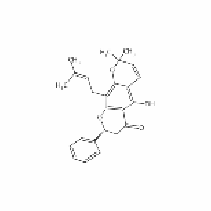 CC(C)=CCc1c2c(c(O)c3c1O[C@H](c1ccccc1)CC3=O)C=CC(C)(C)O2